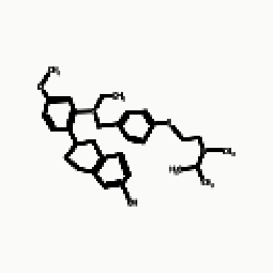 CCN(Cc1ccc(OCCN(C)C(C)C)cc1)c1cc(OC)ccc1C1CCc2cc(O)ccc2C1